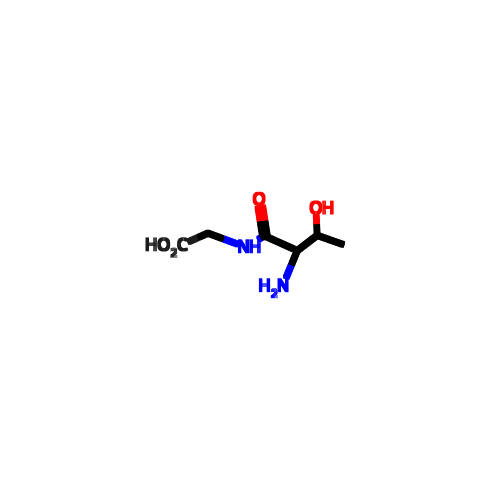 CC(O)C(N)C(=O)NCC(=O)O